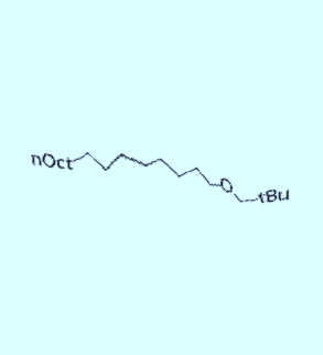 CCCCCCCCCCCCCCCCOCC(C)(C)C